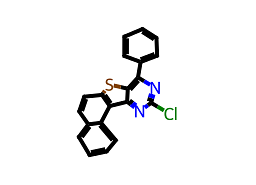 Clc1nc(-c2ccccc2)c2sc3ccc4ccccc4c3c2n1